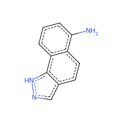 Nc1cccc2c1ccc1cn[nH]c12